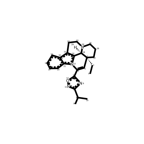 CC[C@@]12C=C(c3nc(C(C)C)no3)n3c4c(c5ccccc53)CCN(CCC1)[C@H]42